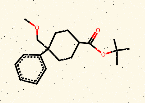 COCC1(c2ccccc2)CCC(C(=O)OC(C)(C)C)CC1